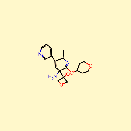 CC1N=C(OC2CCOCC2)C(N)(C2(O)COC2)C=C1c1cccnc1